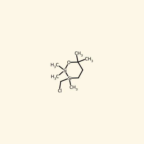 CC1(C)CC[Si](C)(CCl)[Si](C)(C)O1